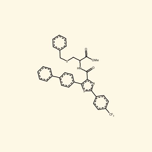 COC(=O)C(CSCc1ccccc1)NC(=O)c1nc(-c2ccc(C(F)(F)F)cc2)sc1-c1ccc(-c2ccccc2)cc1